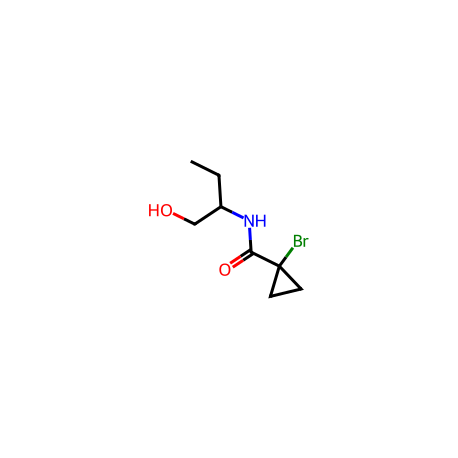 CCC(CO)NC(=O)C1(Br)CC1